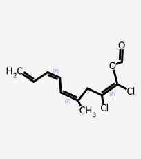 C=C/C=C\C=C(\C)C/C(Cl)=C(/Cl)OC=O